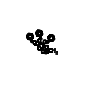 CC(=O)O[C@@H]1C(O)O[C@H](COCc2ccccc2)[C@@H](OCc2ccccc2)[C@@H]1OCc1ccccc1